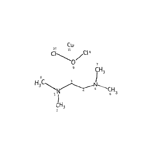 CN(C)CCN(C)C.ClOCl.[Cu]